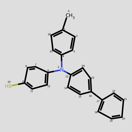 Cc1ccc(N(c2ccc(S)cc2)c2ccc(-c3ccccc3)cc2)cc1